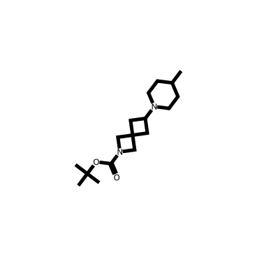 CC1CCN(C2CC3(C2)CN(C(=O)OC(C)(C)C)C3)CC1